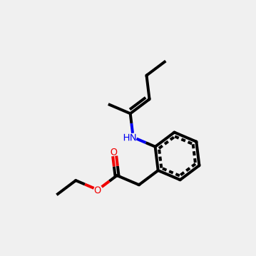 CCC=C(C)Nc1ccccc1CC(=O)OCC